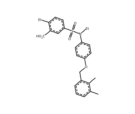 CCc1ccc(S(=O)(=O)N(CC)c2ccc(OCc3cccc(C)c3C)cc2)cc1C(=O)O